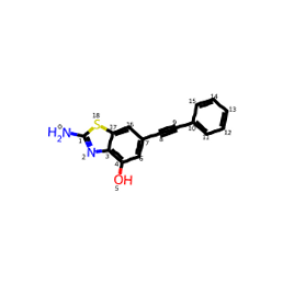 Nc1nc2c(O)cc(C#Cc3ccccc3)cc2s1